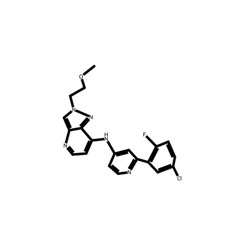 COCCn1cc2nccc(Nc3ccnc(-c4cc(Cl)ccc4F)c3)c2n1